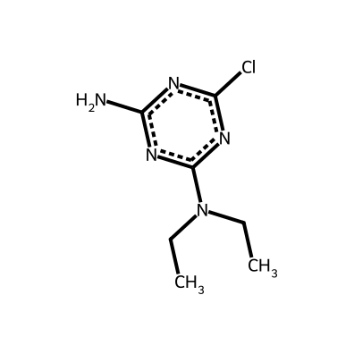 CCN(CC)c1nc(N)nc(Cl)n1